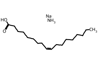 CCCCCCCC/C=C\CCCCCCCC(=O)O.N.[Na]